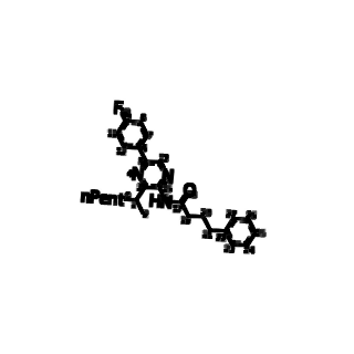 CCCCCC(C)c1nc(-c2ccc(F)cc2)cnc1NC(=O)CCCc1ccccc1